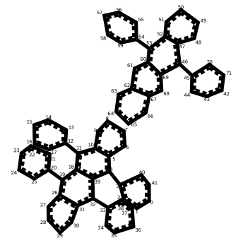 c1ccc(-c2c3ccccc3c(-c3ccccc3)c3c(-c4ccccc4)c4ccccc4c(-c4ccccc4)c23)cc1.c1ccc(-c2c3ccccc3c(-c3ccccc3)c3cc4ccccc4cc23)cc1